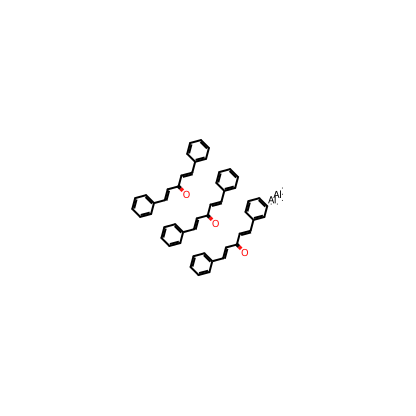 O=C(C=Cc1ccccc1)C=Cc1ccccc1.O=C(C=Cc1ccccc1)C=Cc1ccccc1.O=C(C=Cc1ccccc1)C=Cc1ccccc1.[Al].[Al]